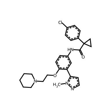 Cn1nccc1-c1cc(NC(=O)C2(c3ccc(Cl)cc3)CC2)ccc1OCCN1CCCCC1